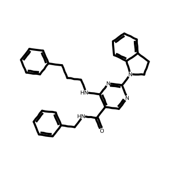 O=C(NCc1ccccc1)c1cnc(N2CCc3ccccc32)nc1NCCCc1ccccc1